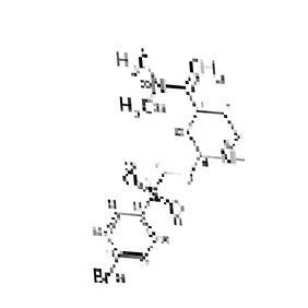 CC(C1CCNC(CCS(=O)(=O)c2ccc(Br)cc2)C1)N(C)C